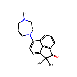 CCCC1(CCC)C(=O)c2cccc3c(N4CCCN(C(C)C)CC4)ccc1c23